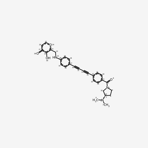 CN(C)[C@@H]1CCN(C(=O)c2ccc(C#CC#Cc3ccc(NCc4occc(=O)c4O)cc3)cc2)C1